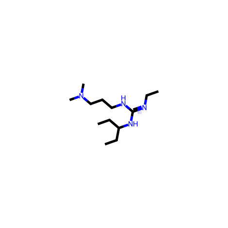 CC/N=C(\NCCCN(C)C)NC(CC)CC